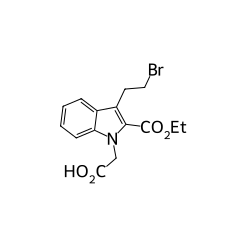 CCOC(=O)c1c(CCBr)c2ccccc2n1CC(=O)O